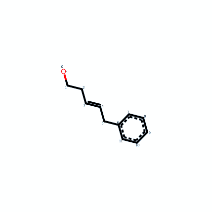 [O]CCC=CCc1ccccc1